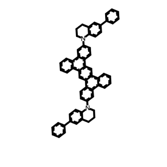 c1ccc(-c2ccc3c(c2)CCCN3c2ccc3c(c2)c2ccccc2c2cc4c5ccc(N6CCCc7cc(-c8ccccc8)ccc76)cc5c5ccccc5c4cc32)cc1